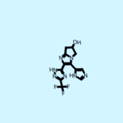 OC1Cc2nc(-c3nc(C(F)(F)F)n[nH]3)c(-c3cnc[nH]3)n2C1